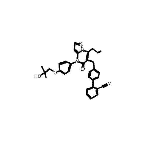 CCCc1c(Cc2ccc(-c3ccccc3C#N)cc2)c(=O)n(-c2ccc(OCC(C)(C)O)cc2)c2ccnn12